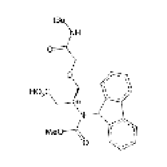 COC(=O)N(C1c2ccccc2-c2ccccc21)[C@H](COCC(=O)NC(C)(C)C)CC(=O)O